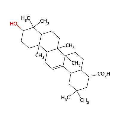 CC1(C)CC2C3=CCC4C5(C)CCC(O)C(C)(C)C5CCC4(C)C3(C)CCC2[C@H](C(=O)O)C1